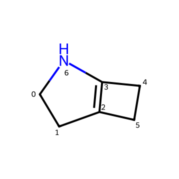 C1CC2=C(CC2)N1